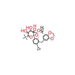 COC1(c2ccc(C3CC3)c(Cc3ccc4c(c3)OCCO4)c2)O[C@H](C(C)(C)C)[C@@H](O)[C@H](O)[C@]1(O)CO[SiH](C)C